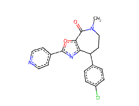 CN1CCC(c2ccc(Cl)cc2)c2nc(-c3ccncc3)oc2C1=O